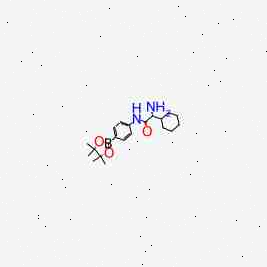 CC1(C)OB(c2ccc(NC(=O)[C@@H](N)C3CCCCC3)cc2)OC1(C)C